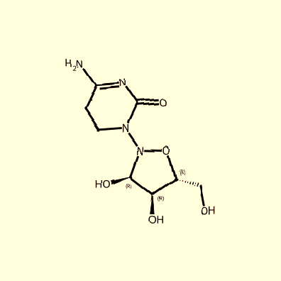 NC1=NC(=O)N(N2O[C@H](CO)[C@@H](O)[C@H]2O)CC1